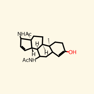 CC(=O)NC1CC2C=C(O)CC[C@]2(C)[C@@H]2CC[C@]3(C)C(NC(C)=O)C=C[C@H]3[C@H]12